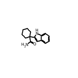 NC(=O)C1(c2cc3ccccc3[nH]2)CCCCC1